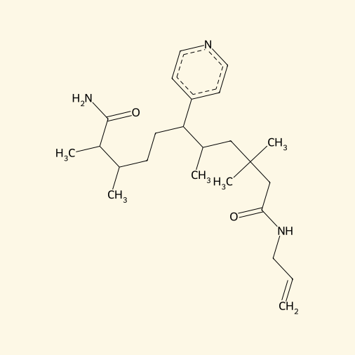 C=CCNC(=O)CC(C)(C)CC(C)C(CCC(C)C(C)C(N)=O)c1ccncc1